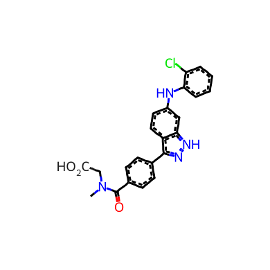 CN(CC(=O)O)C(=O)c1ccc(-c2n[nH]c3cc(Nc4ccccc4Cl)ccc23)cc1